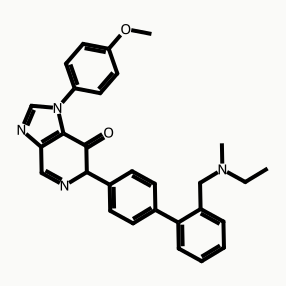 CCN(C)Cc1ccccc1-c1ccc(C2N=Cc3ncn(-c4ccc(OC)cc4)c3C2=O)cc1